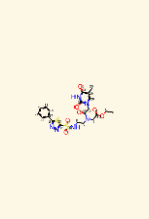 CCOC(=O)CN(CCNS(=O)(=O)c1nnc(-c2ccccc2)s1)C(=O)Cn1cc(C)c(=O)[nH]c1=O